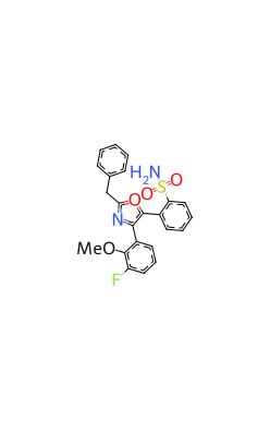 COc1c(F)cccc1-c1nc(Cc2ccccc2)oc1-c1ccccc1S(N)(=O)=O